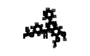 CCOc1cc2c(Nc3cccc(OC(F)F)c3)nc(-c3cccnc3)nc2cc1OC